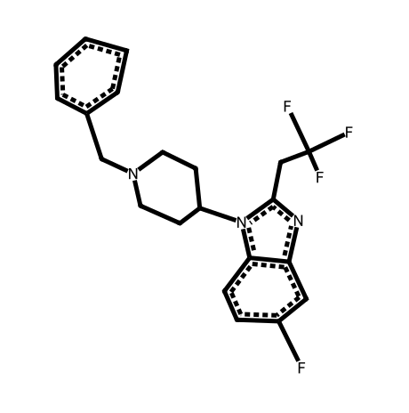 Fc1ccc2c(c1)nc(CC(F)(F)F)n2C1CCN(Cc2ccccc2)CC1